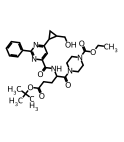 CCOC(=O)N1CCN(C(=O)C(CCC(=O)OC(C)(C)C)NC(=O)c2cc(C3CC3CO)nc(-c3ccccc3)n2)CC1